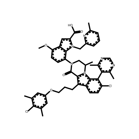 COc1ccc(N2CC(C)n3c(c(CCCOc4cc(C)c(Cl)c(C)c4)c4ccc(Cl)c(-c5c(C)ncnc5C)c43)C2=O)c2c1cc(C(=O)O)n2Cc1cccc(C)n1